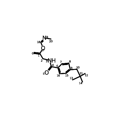 C=C(CNC(=O)c1ccc(CC(C)(C)C)cc1)O/C=N\C